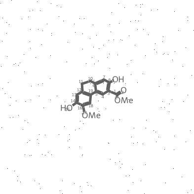 COC(=O)c1cc2c(cc1O)CCc1cc(O)c(OC)cc1-2